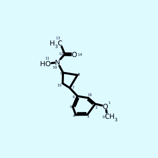 COc1cccc(C2CC(N(O)C(C)=O)C2)c1